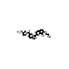 COCCOc1ccc2ccc(-c3nnc4ccc([C@H](C)N5CC[C@H](N)C5)cn34)nc2c1Cl